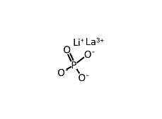 O=P([O-])([O-])[O-].[La+3].[Li+]